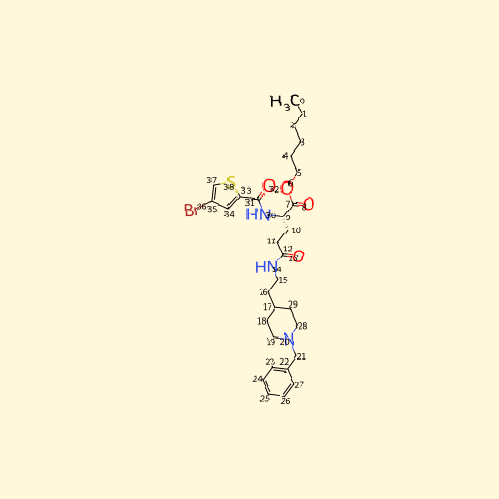 CCCCCCOC(=O)[C@H](CCC(=O)NCCC1CCN(Cc2ccccc2)CC1)NC(=O)c1cc(Br)cs1